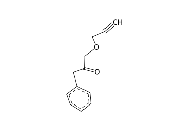 C#CCOCC(=O)Cc1ccccc1